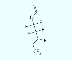 C=COC(F)(F)C(F)(F)C(F)CC(F)(F)F